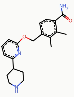 Cc1c(COc2cccc(C3CCNCC3)n2)ccc(C(N)=O)c1C